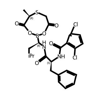 CC(C)C[C@H](NC(=O)[C@H](Cc1ccccc1)NC(=O)c1cc(Cl)ccc1Cl)B1OC(=O)CS[C@H](C)C(=O)O1